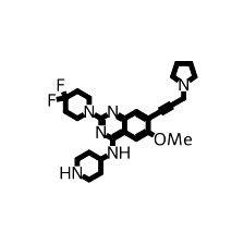 COc1cc2c(NC3CCNCC3)nc(N3CCC(F)(F)CC3)nc2cc1C#CCN1CCCC1